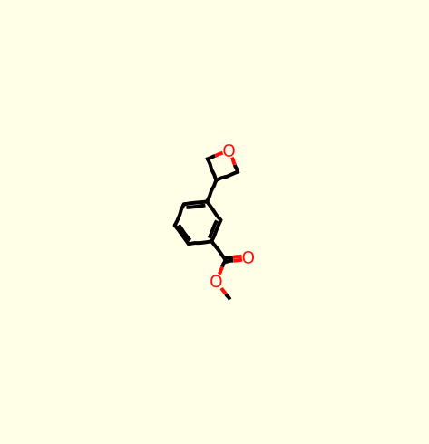 COC(=O)c1cccc(C2COC2)c1